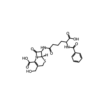 O=C(CCCC(NC(=O)c1ccccc1)C(=O)O)N[C@@H]1C(=O)N2C(C(=O)O)=C(CO)CS[C@@H]12